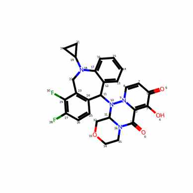 O=C1c2c(O)c(=O)ccn2N(C2c3ccccc3N(C3CC3)Cc3c2ccc(F)c3F)C2COCCN12